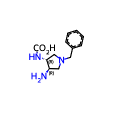 N[C@@H]1CN(Cc2ccccc2)C[C@H]1NC(=O)O